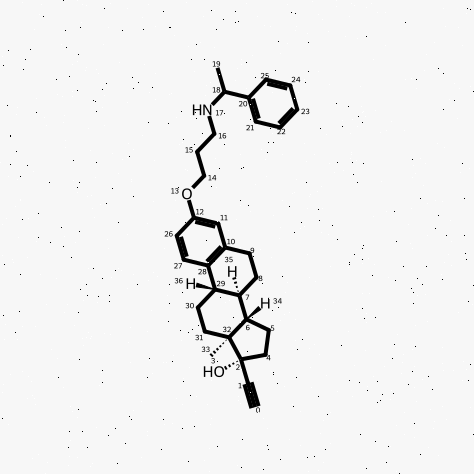 C#C[C@]1(O)CC[C@H]2[C@@H]3CCc4cc(OCCCNC(C)c5ccccc5)ccc4[C@H]3CC[C@@]21C